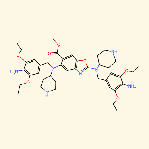 CCOc1cc(CN(c2nc3cc(N(Cc4cc(OCC)c(N)c(OCC)c4)C4CCNCC4)c(C(=O)OC)cc3o2)C2CCNCC2)cc(OCC)c1N